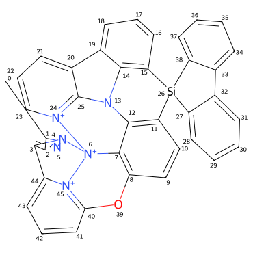 Cc1cc2n(n1)[N+]13c4c(ccc5c4-n4c6c(cccc6c6ccc[n+]1c64)[Si]51c4ccccc4-c4ccccc41)Oc1cccc-2[n+]13